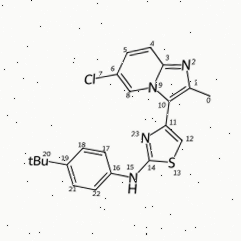 Cc1nc2ccc(Cl)cn2c1-c1csc(Nc2ccc(C(C)(C)C)cc2)n1